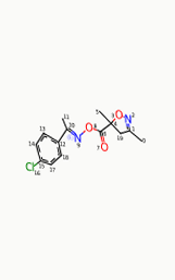 CC1=NOC(C)(C(=O)O/N=C(\C)c2ccc(Cl)cc2)C1